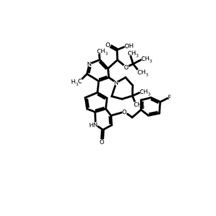 Cc1nc(C)c(C(OC(C)(C)C)C(=O)O)c(N2CCC(C)(C)CC2)c1-c1ccc2[nH]c(=O)cc(OCc3ccc(F)cc3)c2c1